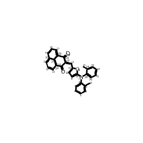 Cc1ccccc1N(c1ccc(C=c2c(=O)c3cccc4cccc(c2=O)c43)o1)c1ccccc1C